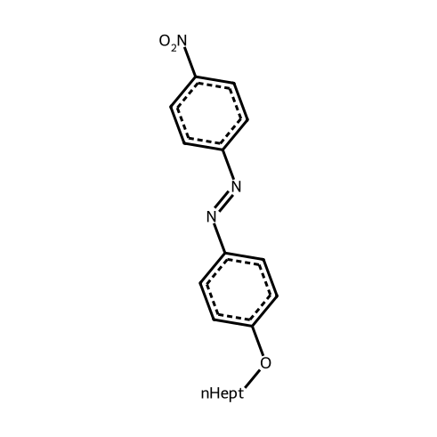 CCCCCCCOc1ccc(/N=N/c2ccc([N+](=O)[O-])cc2)cc1